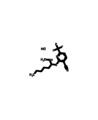 CCCCCC(NC)Sc1nc(C(F)(F)F)ccc1C#N.Cl